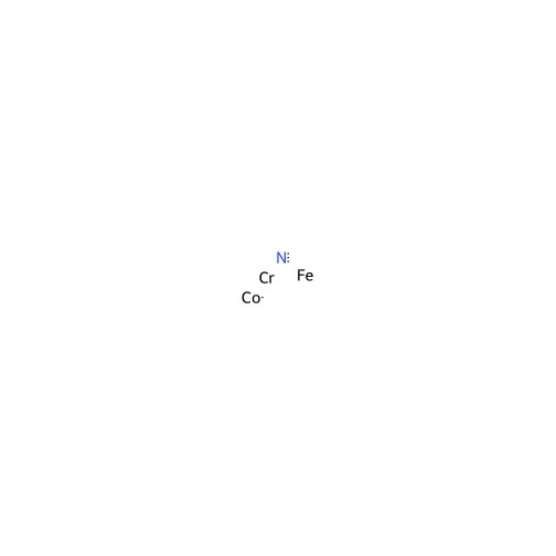 [Co].[Cr].[Fe].[N]